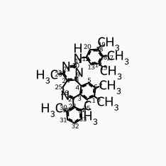 Cc1cc2c(cc1C)-c1nc(Nc3cc(C)c(C)c(C)c3)nc(C)c1CN=C2c1c(C)cccc1C